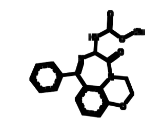 CC(C)(C)OC(=O)NC1N=C(c2ccccc2)c2cccc3c2N(CCO3)C1=O